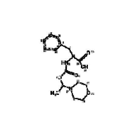 CC(OC(=O)NC(Cc1ccccc1)C(=O)O)N1CCOCC1